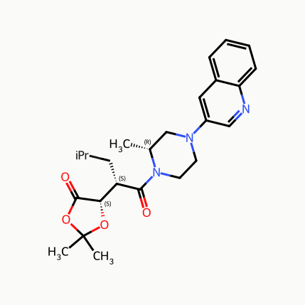 CC(C)C[C@H](C(=O)N1CCN(c2cnc3ccccc3c2)C[C@H]1C)[C@@H]1OC(C)(C)OC1=O